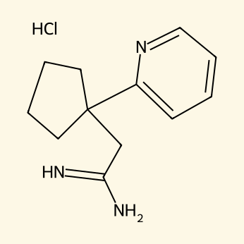 Cl.N=C(N)CC1(c2ccccn2)CCCC1